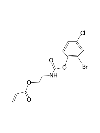 C=CC(=O)OCCNC(=O)Oc1ccc(Cl)cc1Br